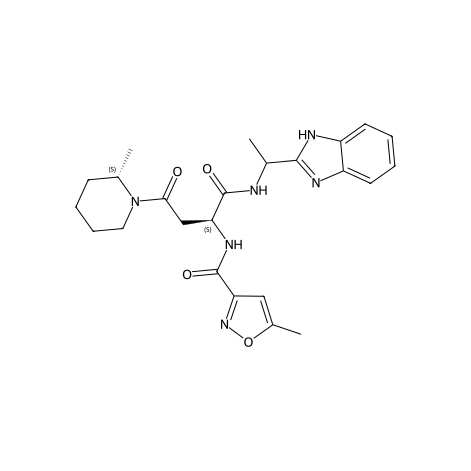 Cc1cc(C(=O)N[C@@H](CC(=O)N2CCCC[C@@H]2C)C(=O)NC(C)c2nc3ccccc3[nH]2)no1